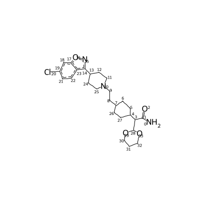 NC(=O)C(C1CCC(CCN2CCC(c3noc4cc(Cl)ccc34)CC2)CC1)C1OCCCO1